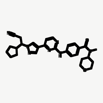 CN(C(=O)c1ccc(Nc2nccc(-c3cnn(C(CC#N)C4CCCC4)c3)n2)cc1)C1CCOCC1